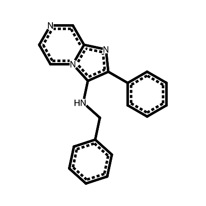 c1ccc(CNc2c(-c3ccccc3)nc3cnccn23)cc1